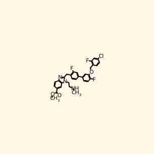 CNCCn1c(Cc2ccc(-c3ccc(F)c(OCc4ccc(Cl)cc4F)c3)cc2F)nc2ccc(C(=O)OC)cc21